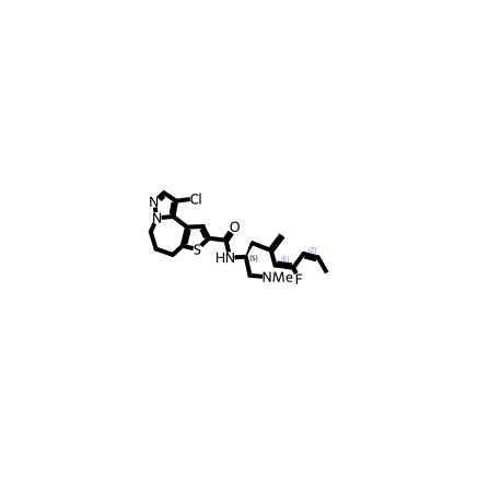 C=C(/C=C(F)\C=C/C)C[C@@H](CNC)NC(=O)c1cc2c(s1)CCCn1ncc(Cl)c1-2